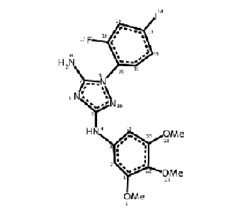 COc1cc(Nc2nc(N)n(-c3ccc(I)cc3F)n2)cc(OC)c1OC